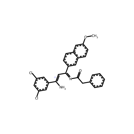 COc1ccc2cc(C(/C=C(\N)c3cc(Cl)cc(Cl)c3)=NC(=O)Cc3ccccc3)ccc2c1